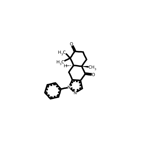 CC1(C)C(=O)CC[C@]2(C)C(=O)c3cnn(-c4ccccc4)c3C[C@@H]12